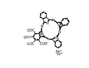 O=C([O-])c1c(C(=O)[O-])c(C(=O)[O-])c2c3nc4nc(nc5[nH]c(nc6nc(nc([nH]3)c2c1C(=O)[O-])-c1ccccc1-6)c1ccccc51)-c1ccccc1-4.[Fe+2].[Fe+2]